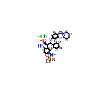 CCS(=O)(=O)Nc1ccc2[nH]c(O)c(C(=Nc3ccc(CN4CCCCC4)cc3)c3ccccc3)c2c1.Cl